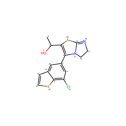 CC(O)C1=C(c2cc(Cl)c3sccc3c2)N2CCN=C2S1